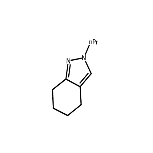 CCCn1cc2c(n1)CCCC2